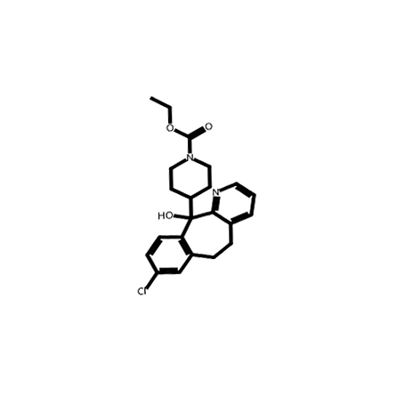 CCOC(=O)N1CCC(C2(O)c3ccc(Cl)cc3CCc3cccnc32)CC1